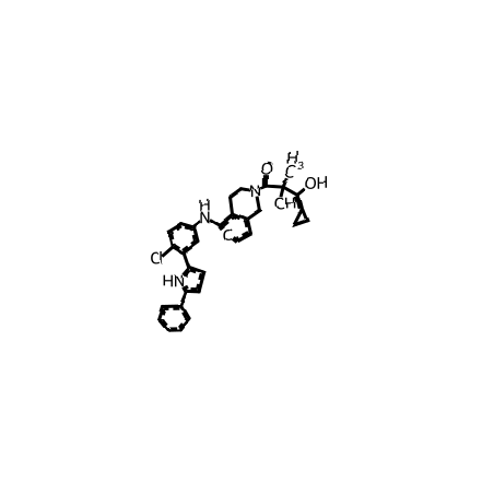 CC(C)(C(=O)N1CCc2c(cccc2Nc2ccc(Cl)c(-c3ccc(-c4ccccc4)[nH]3)c2)C1)C(O)=C1CC1